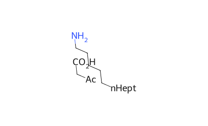 CC(=O)CC(=O)O.CCCCCCCCCCCCN